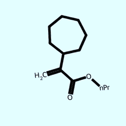 C=C(C(=O)OCCC)C1CCCCCC1